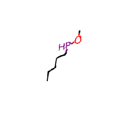 CCCCCPOC